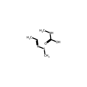 CC=NSC.CNC(=O)O